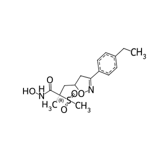 CCc1ccc(C2=NOC(C[C@](C)(C(=O)NO)S(C)(=O)=O)C2)cc1